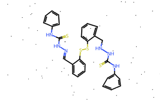 S=C(N/N=C/c1ccccc1SSc1ccccc1CNNC(=S)Nc1ccccc1)Nc1ccccc1